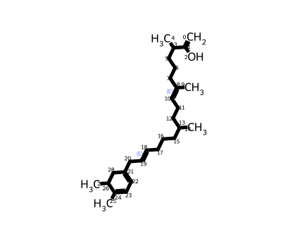 C=C(O)C(C)CCC/C(C)=C/CCC(C)CCC/C=C/CC1=CC=C(C)C(C)C1